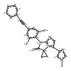 Cn1cnc(-c2cnc3n2C2(CC2)C(=O)N3c2c(F)cc(C#Cc3ccccc3)cc2F)c1